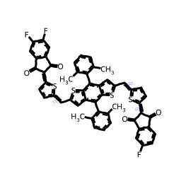 Cc1cccc(C)c1-c1c2cc(/C=c3/cc/c(=C4\C(=O)c5ccc(F)cc5C4=O)s3)sc2c(-c2c(C)cccc2C)c2cc(/C=c3/ccc(=C4C(=O)c5cc(F)c(F)cc5C4=O)s3)sc12